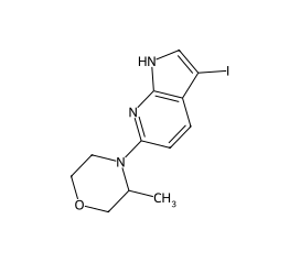 CC1COCCN1c1ccc2c(I)c[nH]c2n1